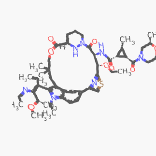 C=C/C(=C(\N=C/C)[C@H](C)OC)c1c2c3cc(ccc3n1CC)-c1csc(n1)[C@@H](OCC)[C@H](NC(=O)[C@@H]1[C@@H](C)[C@H]1C(=O)N1CCO[C@H](C)C1)C(=O)N1CCC[C@H](N1)C(=O)OCC(C)(C)C2